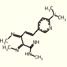 C/N=C(/C=C/c1ccc(N(C)C)nc1)C(=N/C)\C(=N)NC